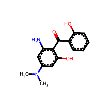 CN(C)c1cc(N)c(C(=O)c2ccccc2O)c(O)c1